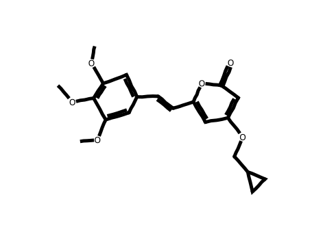 COc1cc(C=Cc2cc(OCC3CC3)cc(=O)o2)cc(OC)c1OC